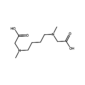 CN(CCCCN(C)CC(=O)O)CC(=O)O